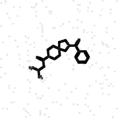 O=C(OC(C(F)(F)F)C(F)(F)F)N1CCC2(CC1)CCN(C(=O)c1ccccc1)C2